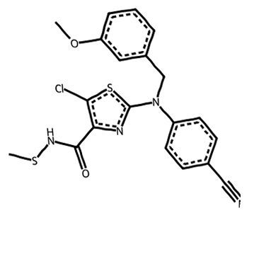 COc1cccc(CN(c2ccc(C#N)cc2)c2nc(C(=O)NSC)c(Cl)s2)c1